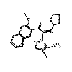 COc1cc2ccccc2cc1C(=O)/C(=N\C1CCCC1)n1ncc(C)c1N